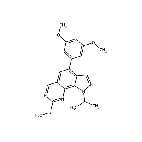 COc1cc(OC)cc(-c2cc3cnc(SC)nc3c3c2cnn3C(C)C)c1